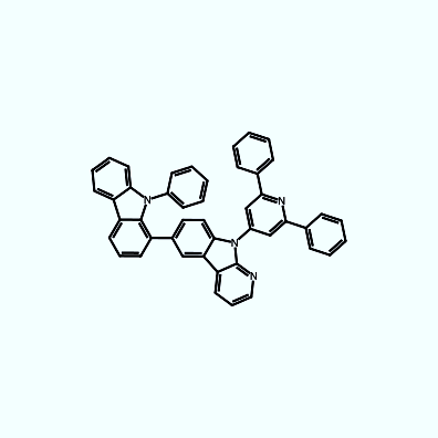 c1ccc(-c2cc(-n3c4ccc(-c5cccc6c7ccccc7n(-c7ccccc7)c56)cc4c4cccnc43)cc(-c3ccccc3)n2)cc1